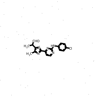 Cc1nc(-c2ccnc(Nc3ccc(Cl)cc3)n2)sc1C(C)C=O